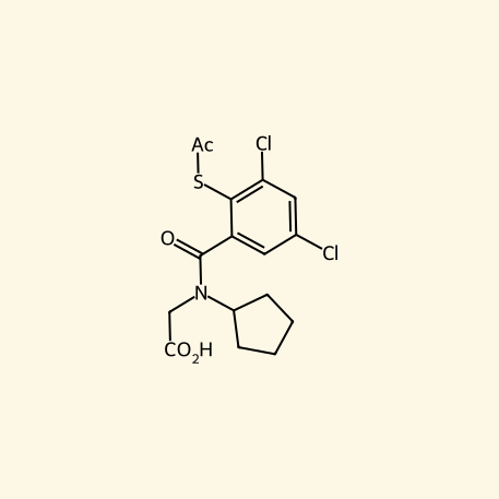 CC(=O)Sc1c(Cl)cc(Cl)cc1C(=O)N(CC(=O)O)C1CCCC1